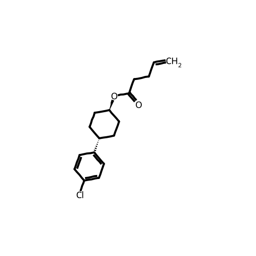 C=CCCC(=O)O[C@H]1CC[C@H](c2ccc(Cl)cc2)CC1